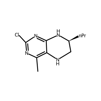 CCC[C@H]1CNc2c(C)nc(Cl)nc2N1